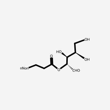 CCCCCCCCCCCC(=O)O[C@@H](C=O)[C@@H](O)[C@H](O)CO